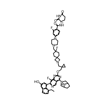 CCc1cccc2cc(O)cc(-c3ncc4c(N5CC6CCC(C5)N6)nc(OCC5(CN6CC7(CCC(F)(CN8CCN(c9ccc(C(=O)N[C@H]%10CCC(=O)NC%10=O)c(F)c9)CC8)CC7)C6)CC5)nc4c3F)c12